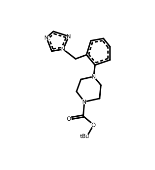 CC(C)(C)OC(=O)N1CCN(c2ccccc2Cn2cncn2)CC1